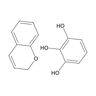 C1=Cc2ccccc2OC1.Oc1cccc(O)c1O